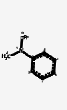 CCCN(C)c1cc[c]cc1